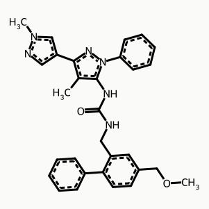 COCc1ccc(-c2ccccc2)c(CNC(=O)Nc2c(C)c(-c3cnn(C)c3)nn2-c2ccccc2)c1